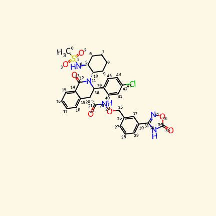 CS(=O)(=O)N[C@H]1CCCC[C@@H]1N1C(=O)c2ccccc2[C@@H](C(=O)NOCc2cccc(-c3noc(=O)[nH]3)c2)[C@@H]1c1ccc(Cl)cc1